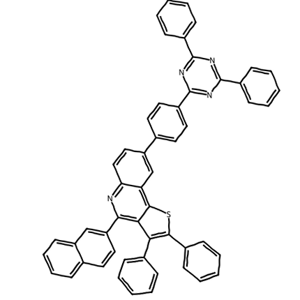 c1ccc(-c2nc(-c3ccccc3)nc(-c3ccc(-c4ccc5nc(-c6ccc7ccccc7c6)c6c(-c7ccccc7)c(-c7ccccc7)sc6c5c4)cc3)n2)cc1